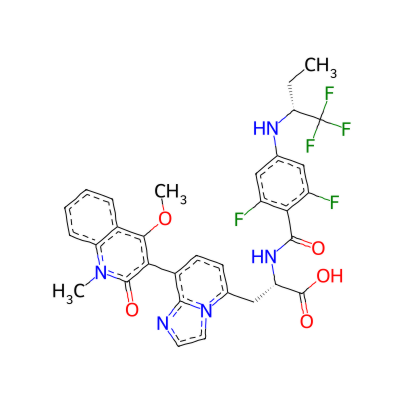 CC[C@@H](Nc1cc(F)c(C(=O)N[C@@H](Cc2ccc(-c3c(OC)c4ccccc4n(C)c3=O)c3nccn23)C(=O)O)c(F)c1)C(F)(F)F